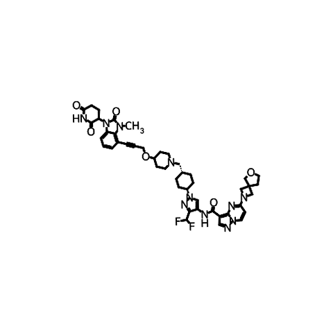 Cn1c(=O)n(C2CCC(=O)NC2=O)c2cccc(C#CCOC3CCN(C[C@H]4CC[C@H](n5cc(NC(=O)c6cnn7ccc(N8CC9(CCOC9)C8)nc67)c(C(F)F)n5)CC4)CC3)c21